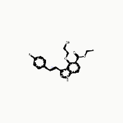 CCOC(=O)c1ccc2[nH]nc(/C=C/c3ccc(F)cc3)c2c1OCCO